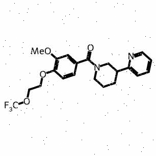 COc1cc(C(=O)N2CCCC(c3ccccn3)C2)ccc1OCCOC(F)(F)F